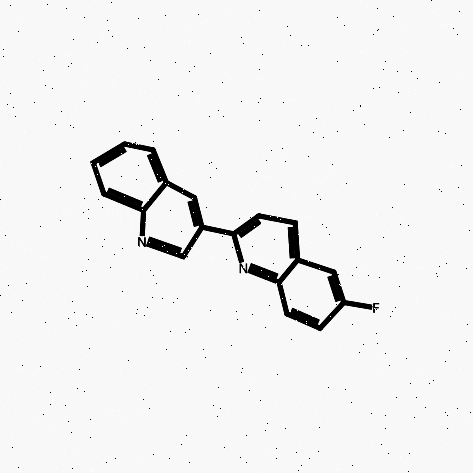 Fc1ccc2nc(-c3[c]nc4ccccc4c3)ccc2c1